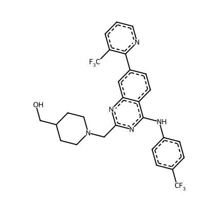 OCC1CCN(Cc2nc(Nc3ccc(C(F)(F)F)cc3)c3ccc(-c4ncccc4C(F)(F)F)cc3n2)CC1